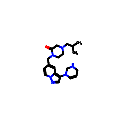 CC(C)CN1CCN(Cc2ccn3ncc(N4C=CCNC4)c3c2)C(=O)C1